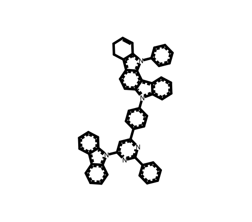 C1=Cc2c(c3ccc4c(c5ccccc5n4-c4ccc(-c5cc(-n6c7ccccc7c7ccccc76)nc(-c6ccccc6)n5)cc4)c3n2-c2ccccc2)CC1